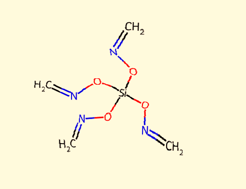 C=NO[Si](ON=C)(ON=C)ON=C